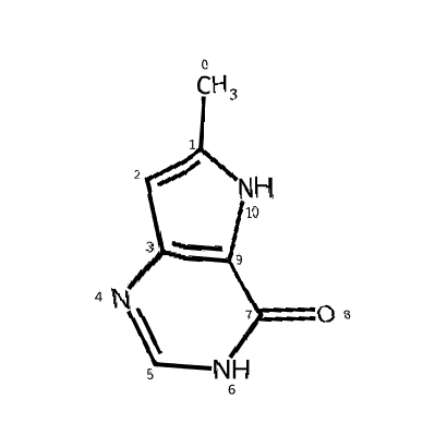 Cc1cc2nc[nH]c(=O)c2[nH]1